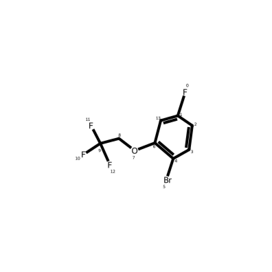 Fc1ccc(Br)c(OCC(F)(F)F)c1